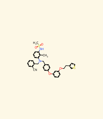 Cc1c(NS(C)(=O)=O)cccc1N(Cc1ccc(Oc2cccc(OCCc3ccsc3)c2)cc1)Cc1ccccc1C#N